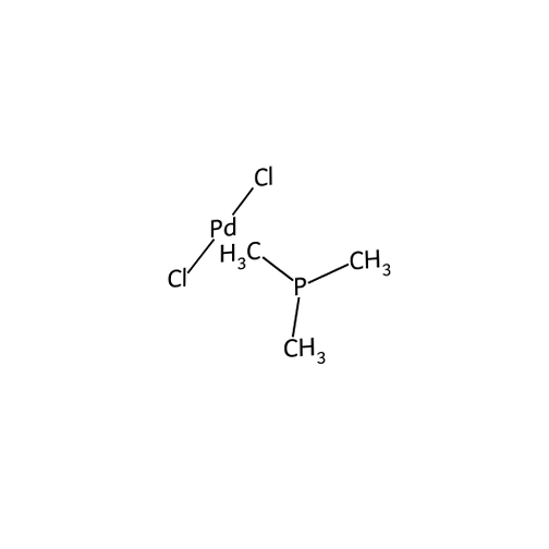 CP(C)C.[Cl][Pd][Cl]